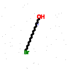 OCC/C=C/CCCCCCCCCCCCCCBr